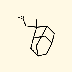 CC1(CO)C2CC3CC(C2)CC1C3